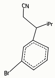 CC(C)C(CC#N)c1cccc(Br)c1